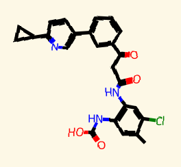 Cc1cc(NC(=O)O)c(NC(=O)CC(=O)c2cccc(-c3ccc(C4CC4)nc3)c2)cc1Cl